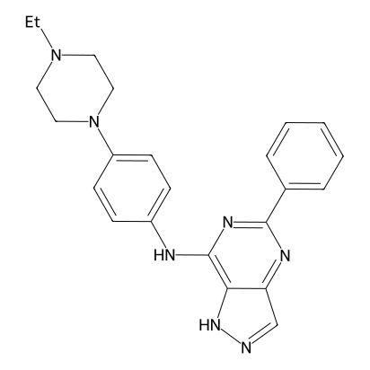 CCN1CCN(c2ccc(Nc3nc(-c4ccccc4)nc4cn[nH]c34)cc2)CC1